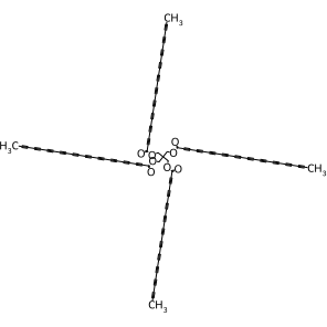 CC#CC#CC#CC#CC#CC#CC#CC#CC#CC#CC(=O)OCC(COC(=O)C#CC#CC#CC#CC#CC#CC#CC#CC#CC#CC)(COC(=O)C#CC#CC#CC#CC#CC#CC#CC#CC#CC#CC)COC(=O)C#CC#CC#CC#CC#CC#CC#CC#CC#CC#CC